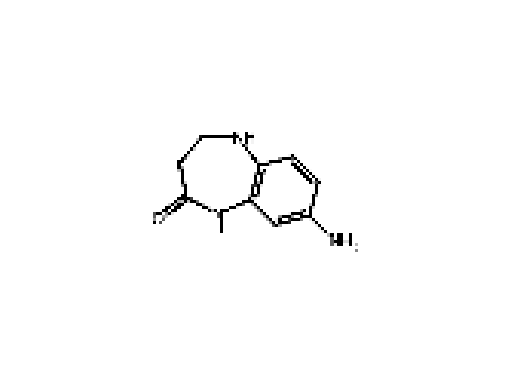 Nc1ccc2c(c1)NC(=O)CCN2